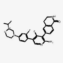 CC(C)[C@H]1CN(c2ccc(-c3cnc(N)c(-c4ccc5c(c4)CCNC5=O)c3F)c(F)c2)CCO1